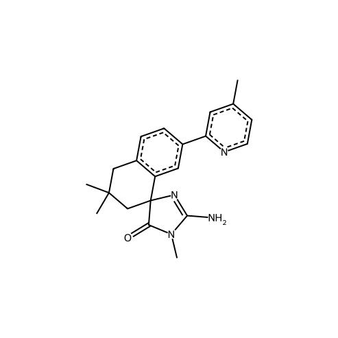 Cc1ccnc(-c2ccc3c(c2)C2(CC(C)(C)C3)N=C(N)N(C)C2=O)c1